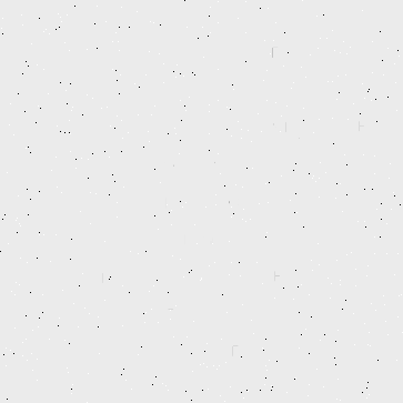 FC(F)C(F)[SiH2]OP(O[SiH2]C(F)C(F)F)O[SiH2]C(F)C(F)F